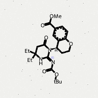 CCC1(CC)CC(=O)N([C@@H]2CCOc3ccc(C(=O)OC)cc32)/C(=N/C(=O)OC(C)(C)C)N1